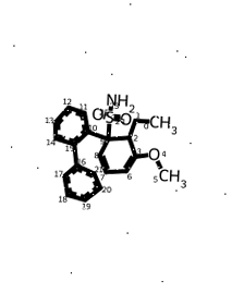 CCC1C(OC)=CC=CC1(c1ccccc1-c1ccccc1)S(N)(=O)=O